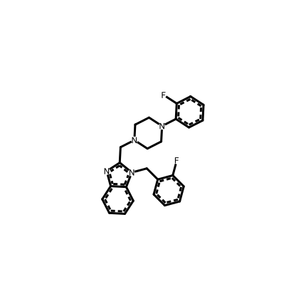 Fc1ccccc1Cn1c(CN2CCN(c3ccccc3F)CC2)nc2ccccc21